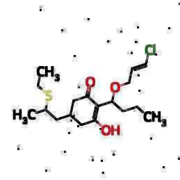 CCCC(OCC=CCl)C1=C(O)CC(CC(C)SCC)CC1=O